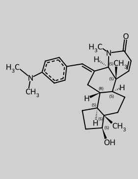 CN(C)c1ccc(C=C2C[C@@H]3[C@H](CC[C@]4(C)[C@@H](O)CC[C@@H]34)[C@@]3(C)C=CC(=O)N(C)[C@H]23)cc1